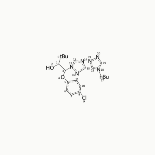 CC(C)(C)C(O)C(Oc1ccc(Cl)cc1)n1cncn1.CCCCn1cnnc1